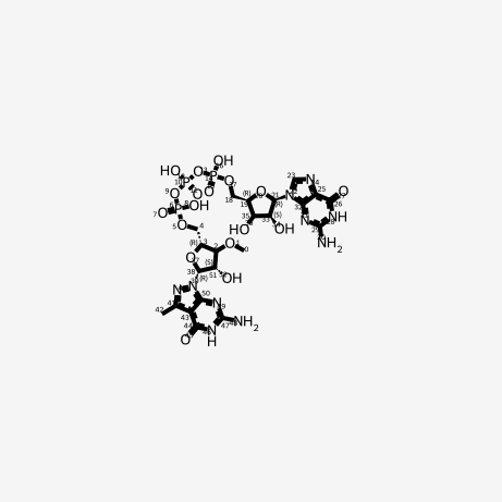 COC1[C@@H](COP(=O)(O)OP(=O)(O)OP(=O)(O)OC[C@H]2O[C@@H](n3cnc4c(=O)[nH]c(N)nc43)[C@@H](O)C2O)O[C@@H](n2nc(C)c3c(=O)[nH]c(N)nc32)[C@H]1O